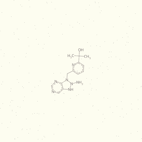 CC(C)(O)c1cccc(CN2c3ncncc3NN2N)n1